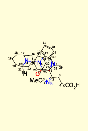 CO/N=C(/CCC(=O)O)c1nc2ccccc2n(C2CC3CCC[C@H](C2)N3C2CC3CC(C)CC(C3)C2)c1=O